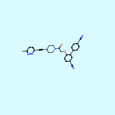 Cc1ccc(C#CC2CCN(C(=O)COc3ccc(C#N)cc3-c3ccc(C#N)cc3)CC2)nn1